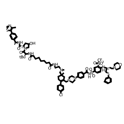 Cc1ncsc1-c1ccc([C@H](C)NC(=O)[C@@H]2C[C@@H](O)CN2C(=O)[C@@H](NC(=O)CCCCCCCC(=O)NCCN(C)CC2(C)CCC(c3ccc(Cl)cc3)=C(CN3CCN(c4ccc(C(=O)NS(=O)(=O)c5ccc(N[C@H](CCN6CCOCC6)CSc6ccccc6)c(S(=O)(=O)C(F)(F)F)c5)cc4)CC3)C2)C(C)(C)C)cc1